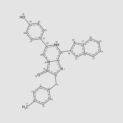 Cc1ccc(Cc2nc3c(-c4cc5ccccc5s4)[nH]c(-c4ccc(O)cc4)cn-3c2=O)cc1